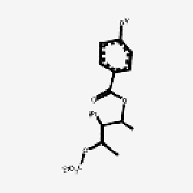 CCCc1ccc(C(=O)OC(C)C(C(C)C)C(C)OC(=O)OCC)cc1